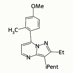 CCCC(C)c1c(CC)nn2c(-c3ccc(OC)cc3C)ccnc12